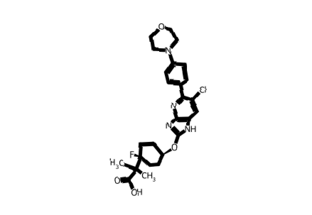 CC(C)(C(=O)O)[C@]1(F)CC[C@@H](Oc2nc3nc(-c4ccc(N5CCOCC5)cc4)c(Cl)cc3[nH]2)CC1